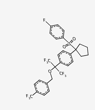 O=S(=O)(c1ccc(F)cc1)C1(c2ccc(C(OCc3ccc(C(F)(F)F)cc3)(C(F)(F)F)C(F)(F)F)cc2)CCCC1